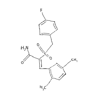 Cc1ccc(C)c(/C=C(/C(N)=O)S(=O)(=O)Cc2ccc(F)cc2)c1